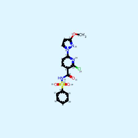 COc1ccn(-c2ccc(C(=O)NS(=O)(=O)c3ccccc3)c(Cl)n2)n1